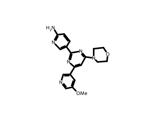 COc1cncc(-c2cc(N3CCOCC3)nc(-c3ccc(N)nc3)n2)c1